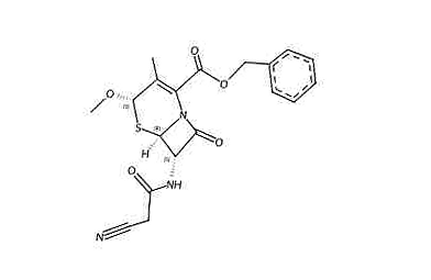 CO[C@H]1S[C@@H]2[C@@H](NC(=O)CC#N)C(=O)N2C(C(=O)OCc2ccccc2)=C1C